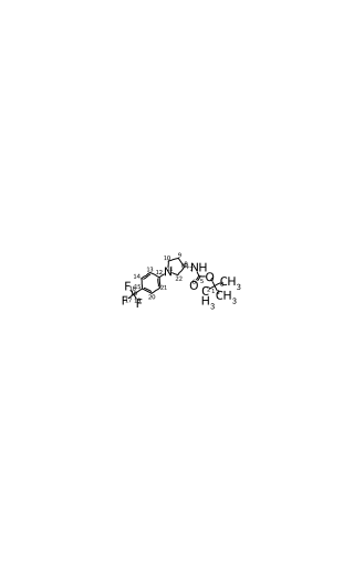 CC(C)(C)OC(=O)N[C@H]1CCN(c2ccc(C(F)(F)F)cc2)C1